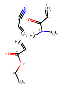 C=CC#N.C=CC(=O)N(C)C.C=CC(=O)OCC